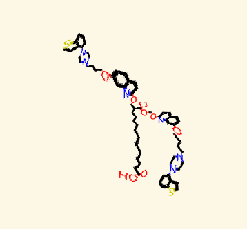 O=C(O)CCCCCCCCCCCC(COc1ccc2ccc(OCCCCN3CCN(c4cccc5sccc45)CC3)cc2n1)C(=O)OCOc1ccc2ccc(OCCCCN3CCN(c4cccc5sccc45)CC3)cc2n1